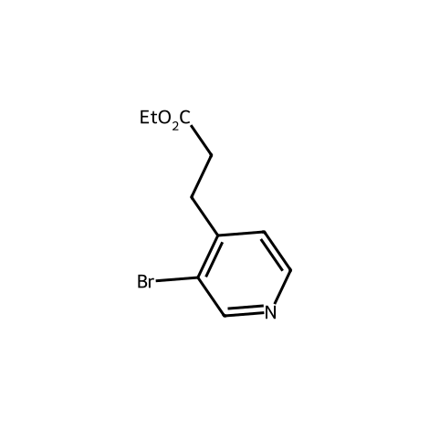 CCOC(=O)CCc1ccncc1Br